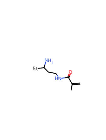 C=C(C)C(=O)NCCC(N)CC